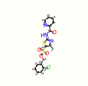 Cc1nc(NC(=O)c2ccccn2)sc1S(=O)(=O)OCc1ccccc1Cl